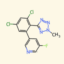 Cn1nnc(-c2c(Cl)cc(Cl)cc2-c2cn[c]c(F)c2)n1